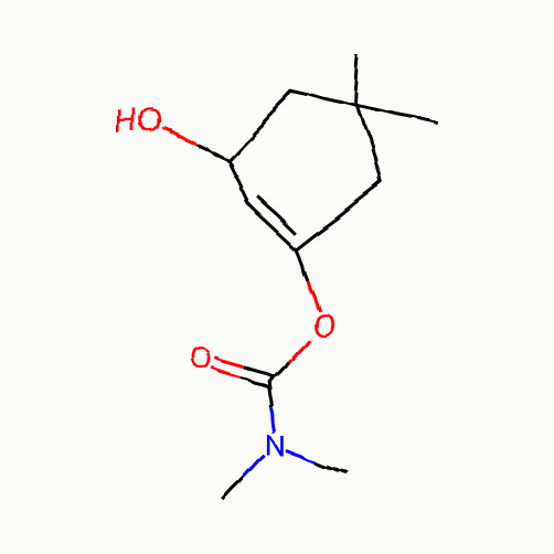 CN(C)C(=O)OC1=CC(O)CC(C)(C)C1